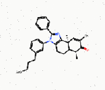 CC(=O)OCCCc1cccc(-n2c(-c3ccccc3)nc3c2CCC2[C@H](C)C(=O)C(C#N)=C[C@]32C)c1